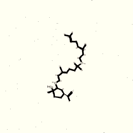 C=C(C)[C@H]1CCC(C)(O)C(OCCC(C)CCCC(C)(C)OCCC(C)CCC=C(C)C)C1